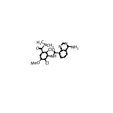 COc1cc(C(=O)N(C)C)c(Cl)c(NC(=O)c2cccc3c(N)ncnc23)c1Cl